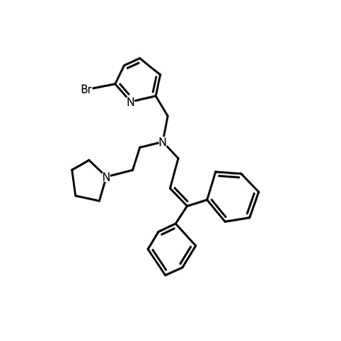 Brc1cccc(CN(CC=C(c2ccccc2)c2ccccc2)CCN2CCCC2)n1